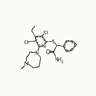 CCc1c(Cl)c(SC(C(N)=O)c2ccccc2)nc(N2CCCN(C)CC2)c1Cl